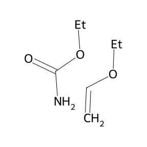 C=COCC.CCOC(N)=O